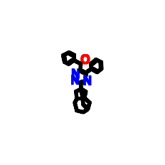 O=C(c1ccccc1)c1nnc(C23CC4CCCC(C2)C(C4)C3)nc1-c1ccccc1